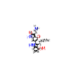 CNCCc1c(C2=CC(=O)C3=C(CCN(C)C)C(=O)NC3=C2)[nH]c2cccc(O)c12